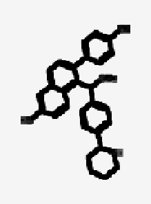 COC(c1ccc(C2CCCCN2)cc1)c1c(-c2ccc(O)cc2)ccc2cc(O)ccc12